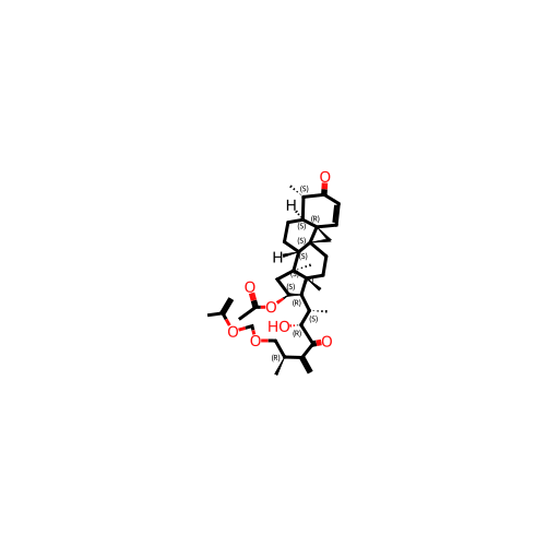 C=C(C)OCOC[C@H](C)C(=C)C(=O)[C@H](O)[C@@H](C)[C@H]1[C@@H](OC(C)=O)C[C@@]2(C)[C@@H]3CC[C@H]4[C@H](C)C(=O)C=C[C@@]45C[C@@]35CC[C@]12C